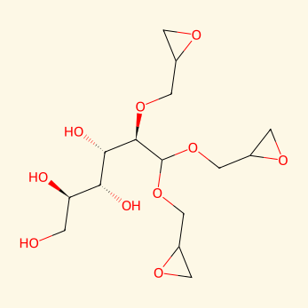 OC[C@@H](O)[C@@H](O)[C@H](O)[C@@H](OCC1CO1)C(OCC1CO1)OCC1CO1